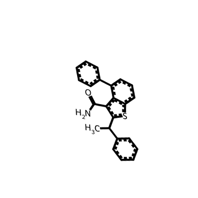 CC(c1ccccc1)c1sc2cccc(-c3ccccc3)c2c1C(N)=O